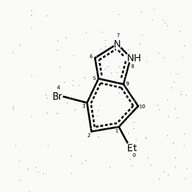 CCc1cc(Br)c2cn[nH]c2c1